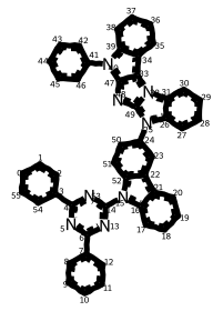 c1ccc(-c2nc(-c3ccccc3)nc(-n3c4ccccc4c4cc(-n5c6ccccc6n6c7c8ccccc8n(-c8ccccc8)c7nc56)ccc43)n2)cc1